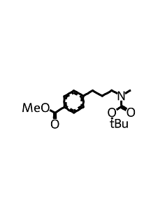 COC(=O)c1ccc(CCCN(C)C(=O)OC(C)(C)C)cc1